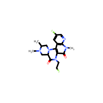 CC1CN2c3c(c(=O)n(C)c4ncc(F)cc34)N(CCF)C(=O)C2CN1C